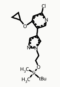 CC(C)(C)[Si](C)(C)OCCn1cc(-c2cnc(Cl)cc2OC2CC2)cn1